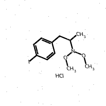 CON(OC)C(C)Cc1ccc(I)cc1.Cl